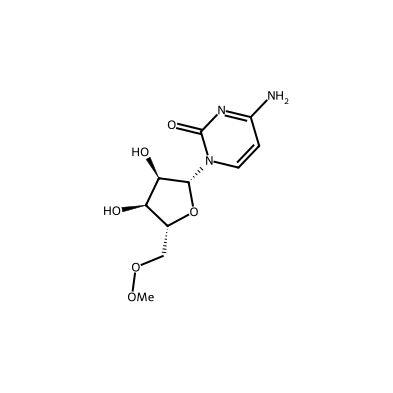 COOC[C@H]1O[C@@H](n2ccc(N)nc2=O)[C@H](O)[C@@H]1O